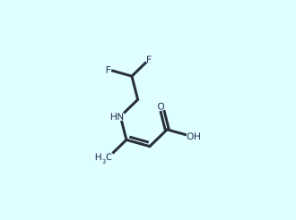 CC(=CC(=O)O)NCC(F)F